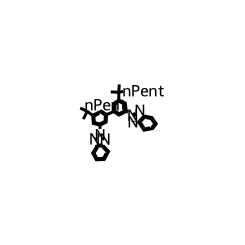 CCCCCC(C)(C)c1cc(-c2cc(-n3nc4ccccc4n3)cc(C(C)(C)CCCCC)c2)cc(-n2nc3ccccc3n2)c1